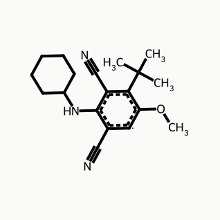 COc1[c]c(C#N)c(NC2CCCCC2)c(C#N)c1C(C)(C)C